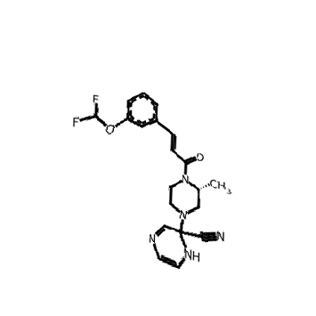 C[C@@H]1CN(C2(C#N)C=NC=CN2)CCN1C(=O)/C=C/c1cccc(OC(F)F)c1